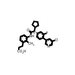 Cc1c(CCC(=O)O)cccc1NC(=O)[C@@H](c1ccc(-c2cncc(Cl)c2)c(F)c1)C1CCCC1